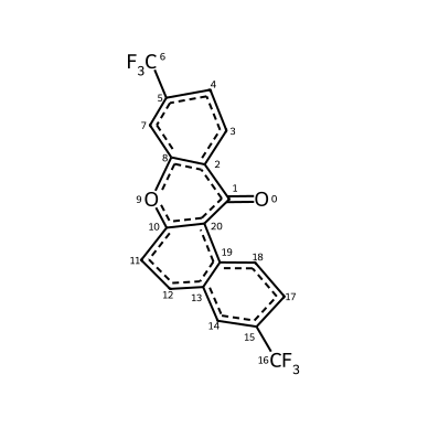 O=c1c2ccc(C(F)(F)F)cc2oc2ccc3cc(C(F)(F)F)ccc3c12